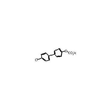 O=C(O)Oc1ccc(-c2ccc(Cl)cc2)cc1